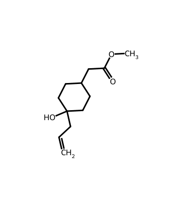 C=CCC1(O)CCC(CC(=O)OC)CC1